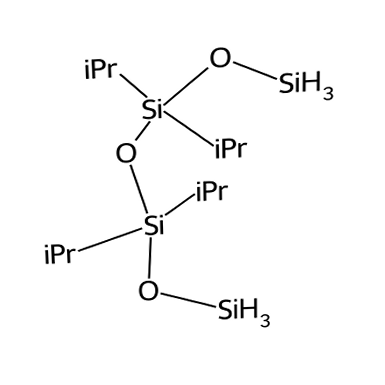 CC(C)[Si](O[SiH3])(O[Si](O[SiH3])(C(C)C)C(C)C)C(C)C